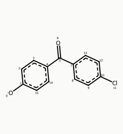 [O]c1ccc(C(=O)c2ccc(Cl)cc2)cc1